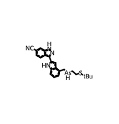 CC(C)(C)SCC[AsH]Cc1cccc2[nH]c(-c3n[nH]c4cc(C#N)ccc34)cc12